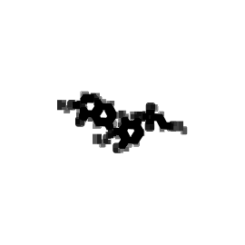 CCCS(=O)(=O)Nc1ccc(Cl)c(N(C)c2ccc3ncn(C)c(=O)c3c2)c1F